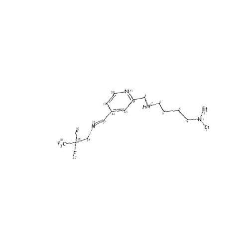 CCN(CC)CCCCNCc1cc(/C=N/CC(F)(F)C(F)(F)F)ccn1